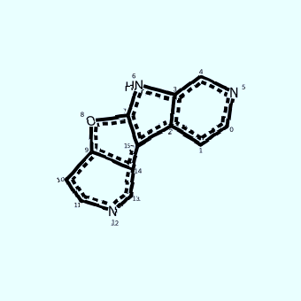 c1cc2c(cn1)[nH]c1oc3ccncc3c12